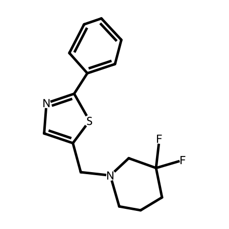 FC1(F)CCCN(Cc2cnc(-c3ccccc3)s2)C1